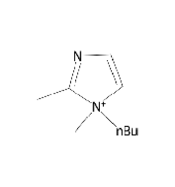 CCCC[N+]1(C)C=CN=C1C